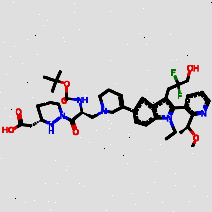 CCn1c(-c2cccnc2[C@H](C)OC)c(CC(F)(F)CO)c2cc(C3=CCCN(C[C@H](NC(=O)OC(C)(C)C)C(=O)N4CCC[C@@H](CC(=O)O)N4)C3)ccc21